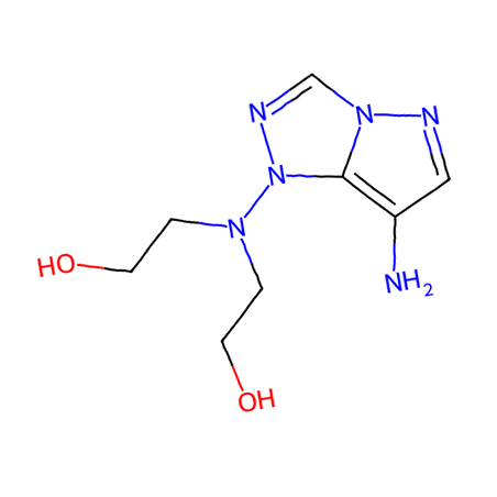 Nc1cnn2cnn(N(CCO)CCO)c12